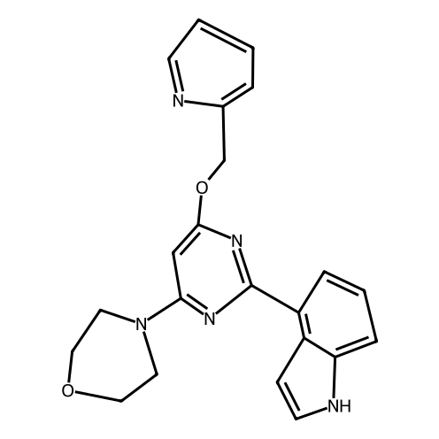 c1ccc(COc2cc(N3CCOCC3)nc(-c3cccc4[nH]ccc34)n2)nc1